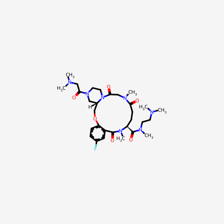 CN(C)CCN(C)C(=O)[C@@H]1CCC(=O)N(C)CC(=O)N2CCN(C(=O)CN(C)C)C[C@H]2COc2ccc(F)cc2C(=O)N1C